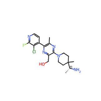 Cc1nc(N2CCC(C)([C@@H](C)N)CC2)c(CO)nc1-c1ccnc(F)c1Cl